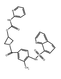 Cc1cc(C(=O)N2CC(OC(=O)Nc3ccccn3)C2)ccc1NS(=O)(=O)c1cccc2cccnc12